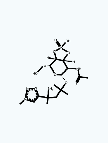 BC(C)(CC(C)(C)O[C@@H]1O[C@H](CO)[C@@H]2OP(=O)(O)O[C@@H]2[C@H]1NC(C)=O)c1cn(C)nn1